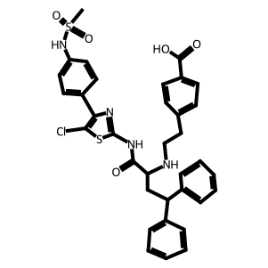 CS(=O)(=O)Nc1ccc(-c2nc(NC(=O)C(CC(c3ccccc3)c3ccccc3)NCCc3ccc(C(=O)O)cc3)sc2Cl)cc1